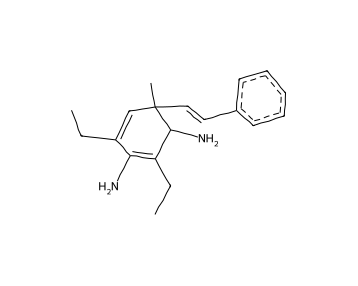 CCC1=CC(C)(C=Cc2ccccc2)C(N)C(CC)=C1N